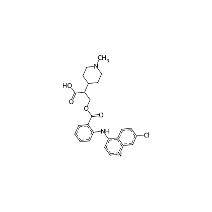 CN1CCC(C(COC(=O)c2ccccc2Nc2ccnc3cc(Cl)ccc23)C(=O)O)CC1